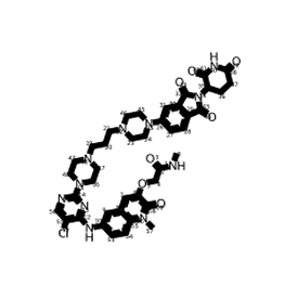 CNC(=O)COc1cc2cc(Nc3nc(N4CCN(CCCN5CCN(c6ccc7c(c6)C(=O)N(C6CCC(=O)NC6=O)C7=O)CC5)CC4)ncc3Cl)ccc2n(C)c1=O